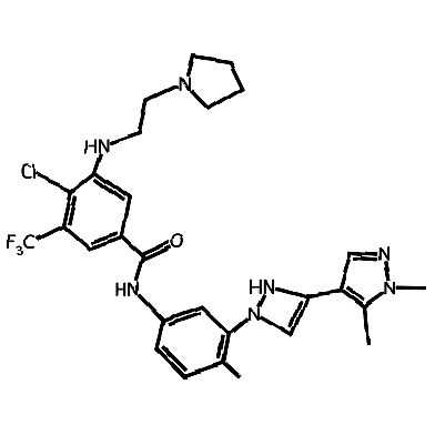 Cc1ccc(NC(=O)c2cc(NCCN3CCCC3)c(Cl)c(C(F)(F)F)c2)cc1-n1cc(-c2cnn(C)c2C)[nH]1